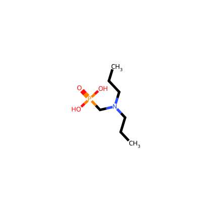 CCCN(CCC)CP(=O)(O)O